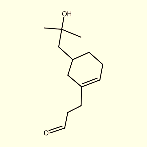 CC(C)(O)CC1CCC=C(CCC=O)C1